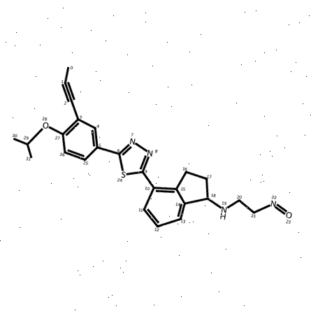 CC#Cc1cc(-c2nnc(-c3cccc4c3CCC4NCCN=O)s2)ccc1OC(C)C